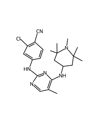 Cc1cnc(Nc2ccc(C#N)c(Cl)c2)nc1NC1CC(C)(C)N(C)C(C)(C)C1